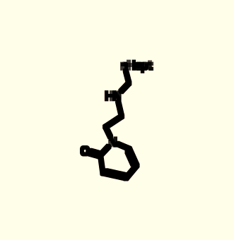 CCCCCCCCNCCn1ccccc1=O